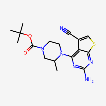 CC1CN(C(=O)OC(C)(C)C)CCN1c1nc(N)nc2scc(C#N)c12